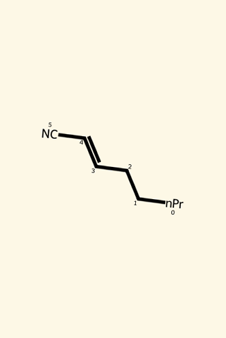 CCCCCC=[C]C#N